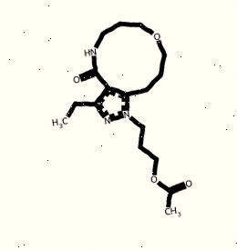 CCc1nn(CCCOC(C)=O)c2c1C(=O)NCCCOCCC2